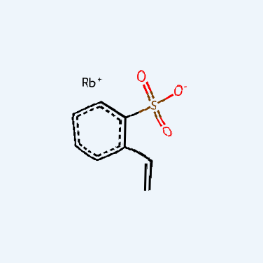 C=Cc1ccccc1S(=O)(=O)[O-].[Rb+]